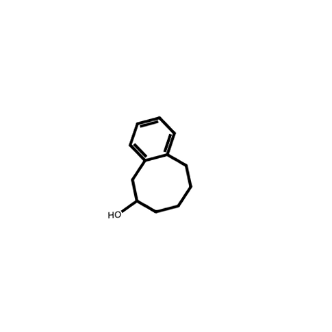 OC1CCCCc2ccccc2C1